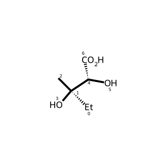 CC[C@@](C)(O)[C@@H](O)C(=O)O